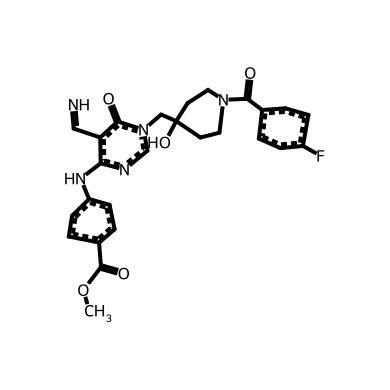 COC(=O)c1ccc(Nc2ncn(CC3(O)CCN(C(=O)c4ccc(F)cc4)CC3)c(=O)c2C=N)cc1